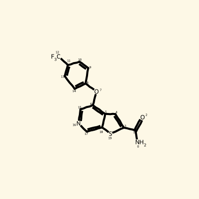 NC(=O)c1cc2c(Oc3ccc(C(F)(F)F)cc3)cncc2s1